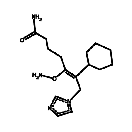 NO/C(CCCC(N)=O)=C(\Cn1ccnc1)C1CCCCC1